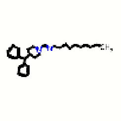 CCCCCCCCCCN=CN1CCC(C(c2ccccc2)c2ccccc2)CC1